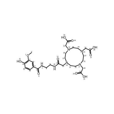 COc1cc(C(=O)NCCNC(=O)CN2CCN(CC(=O)O)CCN(CC(=O)O)CCN(CC(=O)O)CC2)ccc1O